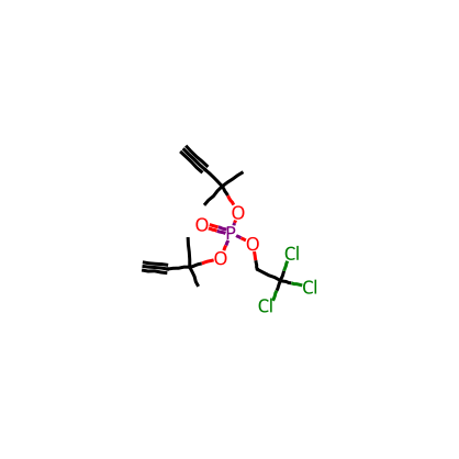 C#CC(C)(C)OP(=O)(OCC(Cl)(Cl)Cl)OC(C)(C)C#C